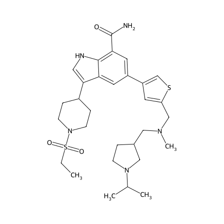 CCS(=O)(=O)N1CCC(c2c[nH]c3c(C(N)=O)cc(-c4csc(CN(C)CC5CCN(C(C)C)C5)c4)cc23)CC1